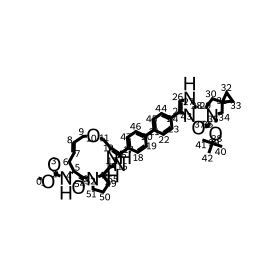 COC(=O)N[C@H]1C/C=C/COCc2[nH]c(nc2-c2ccc(-c3ccc(-c4c[nH]c([C@@H]5CC6(CC6)CN5C(=O)OC(C)(C)C)n4)cc3)cc2)[C@@H]2CCCN2C1=O